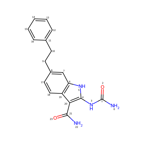 NC(=O)Nc1[nH]c2cc(CCc3ccccc3)ccc2c1C(N)=O